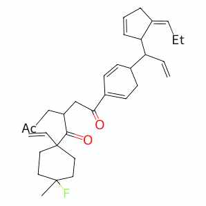 C=CC(C1C=CC(C(=O)CC(CC(C)=O)C(=O)C2(C=C)CCC(C)(F)CC2)=CC1)C1C=CC/C1=C/CC